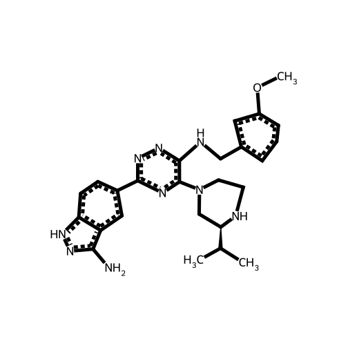 COc1cccc(CNc2nnc(-c3ccc4[nH]nc(N)c4c3)nc2N2CCN[C@@H](C(C)C)C2)c1